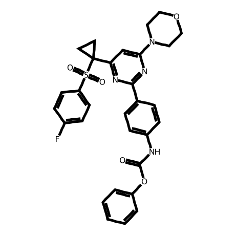 O=C(Nc1ccc(-c2nc(N3CCOCC3)cc(C3(S(=O)(=O)c4ccc(F)cc4)CC3)n2)cc1)Oc1ccccc1